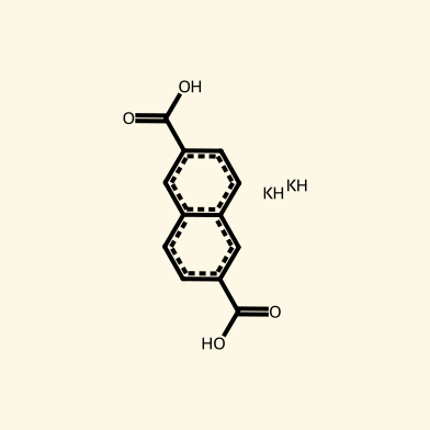 O=C(O)c1ccc2cc(C(=O)O)ccc2c1.[KH].[KH]